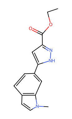 CCOC(=O)c1cc(-c2ccc3ccn(C)c3c2)[nH]n1